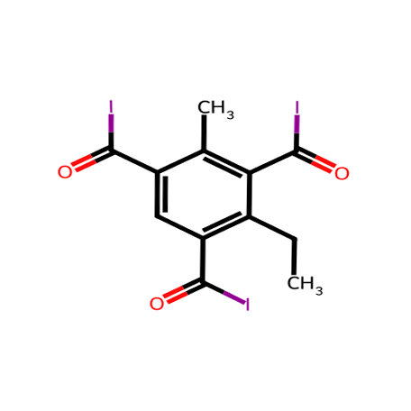 CCc1c(C(=O)I)cc(C(=O)I)c(C)c1C(=O)I